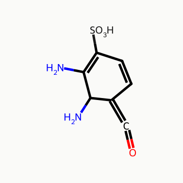 NC1=C(S(=O)(=O)O)C=CC(=C=O)C1N